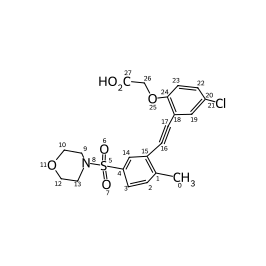 Cc1ccc(S(=O)(=O)N2CCOCC2)cc1C#Cc1cc(Cl)ccc1OCC(=O)O